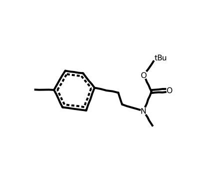 Cc1ccc(CCN(C)C(=O)OC(C)(C)C)cc1